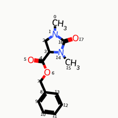 CN1CC(C(=O)OCc2ccccc2)N(C)C1=O